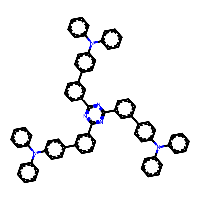 c1ccc(N(c2ccccc2)c2ccc(-c3cccc(-c4nc(-c5cccc(-c6ccc(N(c7ccccc7)c7ccccc7)cc6)c5)nc(-c5cccc(-c6ccc(N(c7ccccc7)c7ccccc7)cc6)c5)n4)c3)cc2)cc1